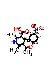 CC(=O)C1=C(C)NC(C)=C(C(=O)O)C1c1cccc([N+](=O)[O-])c1